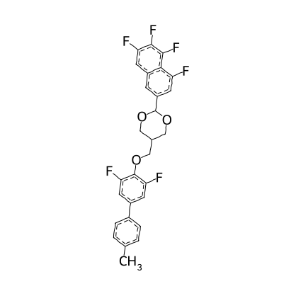 Cc1ccc(-c2cc(F)c(OCC3COC(c4cc(F)c5c(F)c(F)c(F)cc5c4)OC3)c(F)c2)cc1